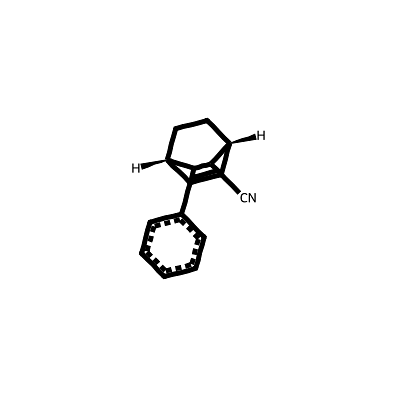 N#CC1C(c2ccccc2)[C@@H]2C=C[C@H]1CC2